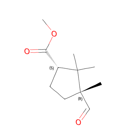 COC(=O)[C@H]1CC[C@@](C)(C=O)C1(C)C